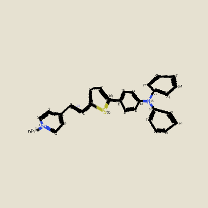 CCC[n+]1ccc(/C=C/c2ccc(-c3ccc(N(c4ccccc4)c4ccccc4)cc3)s2)cc1